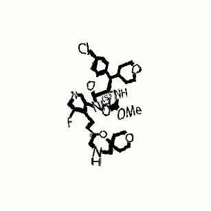 COC(=O)N[C@H](C(=O)Nc1cncc(F)c1CC[C@@H]1CNCC2(CCOCC2)O1)C(c1ccc(Cl)cc1)C1CCOCC1